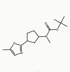 Cc1cnc(C2CCC(N(C)C(=O)OC(C)(C)C)C2)o1